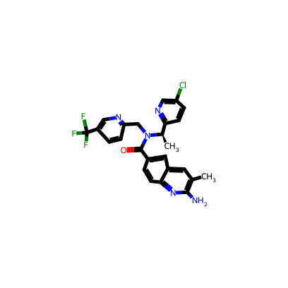 Cc1cc2cc(C(=O)N(Cc3ccc(C(F)(F)F)cn3)[C@H](C)c3ccc(Cl)cn3)ccc2nc1N